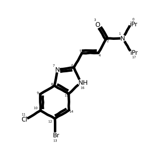 CC(C)N(C(=O)C=Cc1nc2cc(Cl)c(Br)cc2[nH]1)C(C)C